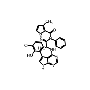 Cc1ccn2nc(C(C)Nc3ncnc4[nH]cc(-c5cccc(Cl)c5O)c34)n(-c3ccccc3)c(=O)c12